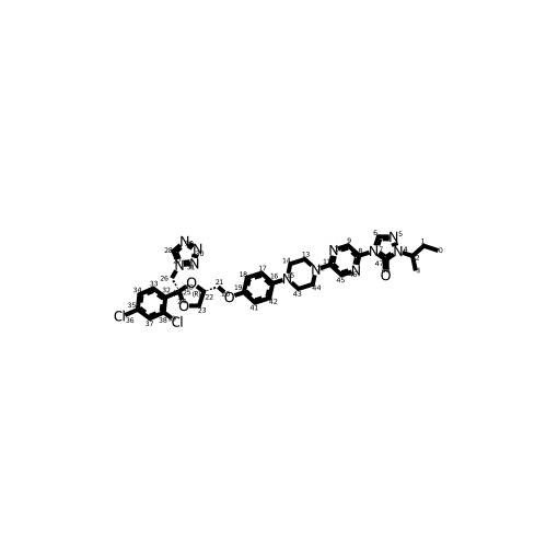 CCC(C)n1ncn(-c2cnc(N3CCN(c4ccc(OC[C@@H]5CO[C@@](Cn6cnnn6)(c6ccc(Cl)cc6Cl)O5)cc4)CC3)cn2)c1=O